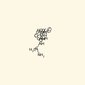 COc1cccc(OC)c1-c1cc(C(=O)NC2(C(=O)O)C3CC4CC(C3)CC2C4)nn1-c1ccc(NCCCN(C)CCCN)cc1C(C)C